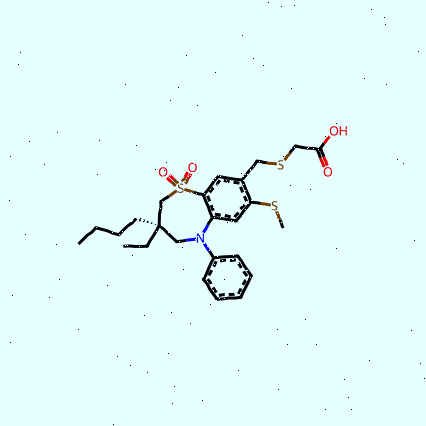 CCCC[C@@]1(CC)CN(c2ccccc2)c2cc(SC)c(CSCC(=O)O)cc2S(=O)(=O)C1